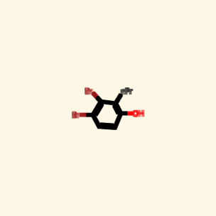 CCCc1c(O)ccc(Br)c1Br